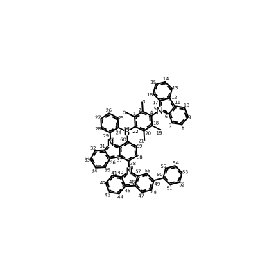 Cc1c(C)c(-n2c3ccccc3c3ccccc32)c(C)c(C)c1B1c2ccccc2-n2c3ccccc3c3c(-n4c5ccccc5c5ccc(-c6ccccc6)cc54)ccc1c32